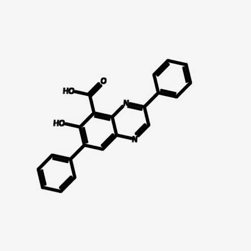 O=C(O)c1c(O)c(-c2ccccc2)cc2ncc(-c3ccccc3)nc12